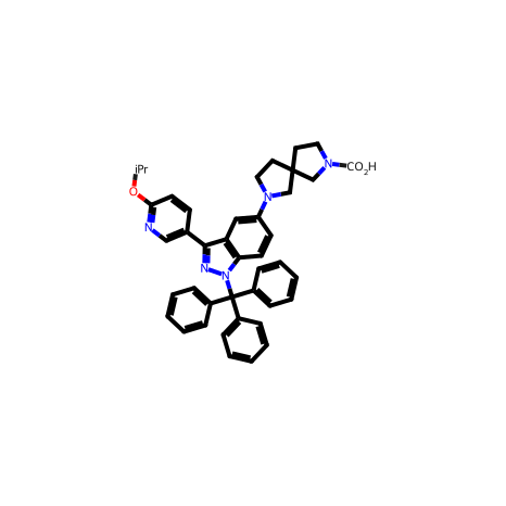 CC(C)Oc1ccc(-c2nn(C(c3ccccc3)(c3ccccc3)c3ccccc3)c3ccc(N4CCC5(CCN(C(=O)O)C5)C4)cc23)cn1